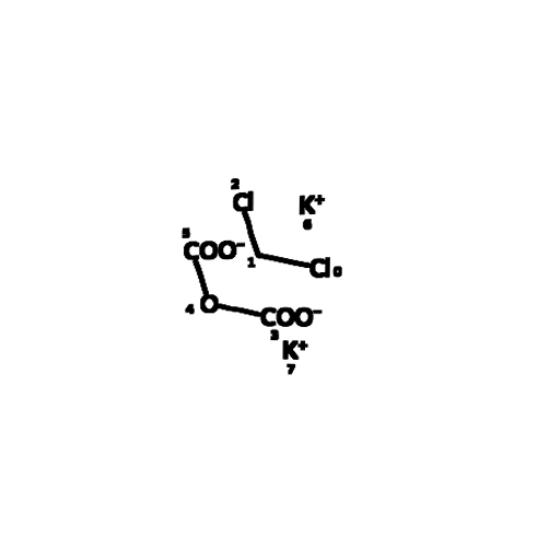 ClCCl.O=C([O-])OC(=O)[O-].[K+].[K+]